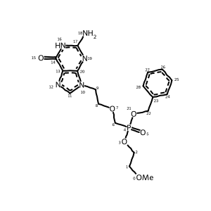 COCCOP(=O)(COCCn1cnc2c(=O)[nH]c(N)nc21)OCc1ccccc1